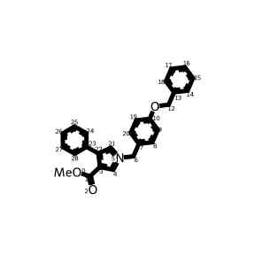 COC(=O)c1cn(Cc2ccc(OCc3ccccc3)cc2)cc1-c1ccccc1